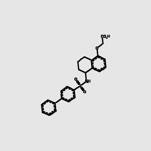 O=C(O)COc1cccc2c1CCCC2NS(=O)(=O)c1ccc(-c2ccccc2)cc1